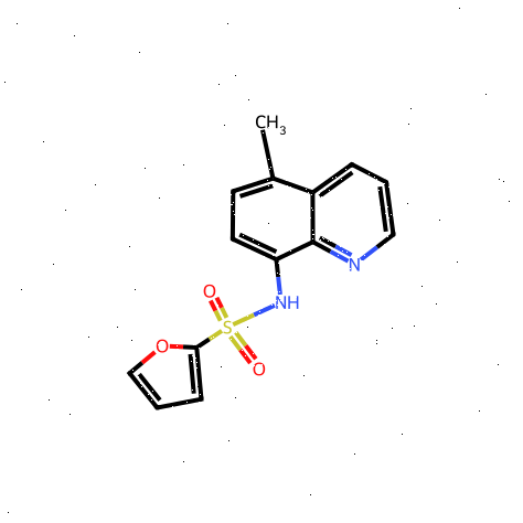 Cc1ccc(NS(=O)(=O)c2ccco2)c2ncccc12